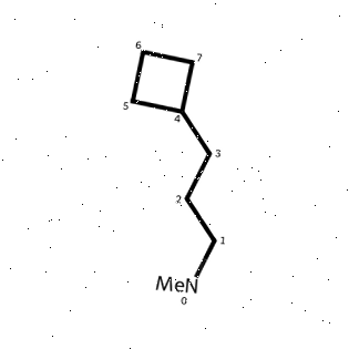 CNCCCC1CCC1